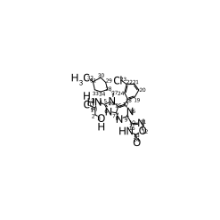 C[C@H](CO)Nc1nc2nc(-c3noc(=O)[nH]3)nc(-c3cccc(Cl)c3)c2n1C[C@H]1CC[C@H](C)CC1